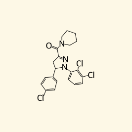 O=C(C1=NN(c2cccc(Cl)c2Cl)C(c2ccc(Cl)cc2)C1)N1CCCCC1